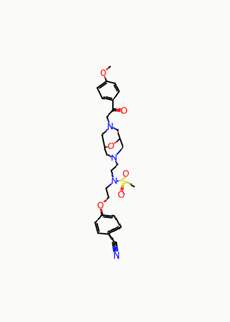 COc1ccc(C(=O)CN2CC3CN(CCN(CCOc4ccc(C#N)cc4)S(C)(=O)=O)CC(C2)O3)cc1